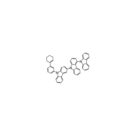 C1=C(c2cccc(-n3c4ccccc4c4cc(-n5c6ccccc6c6c(-n7c8ccccc8c8ccccc87)cccc65)ccc43)c2)CCCC1